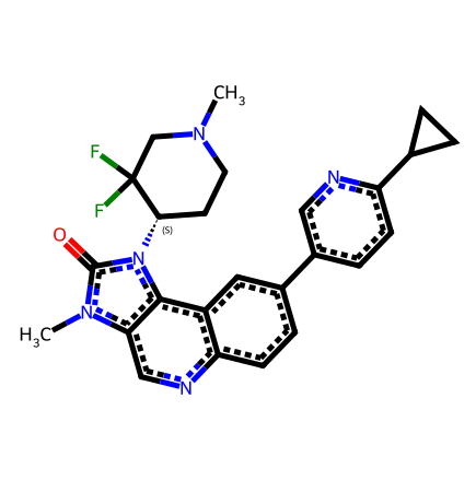 CN1CC[C@H](n2c(=O)n(C)c3cnc4ccc(-c5ccc(C6CC6)nc5)cc4c32)C(F)(F)C1